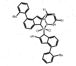 CCCC1=Cc2c(-c3ccccc3C(C)(C)C)cccc2[CH]1[Hf]([Cl])([Cl])([B](NC(=O)CC)NC(=O)CC)[CH]1C(CCC)=Cc2c(-c3ccccc3C(C)(C)C)cccc21